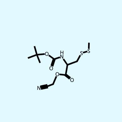 CSSCC(NC(=O)OC(C)(C)C)C(=O)OCC#N